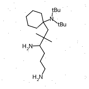 CC(C)(CC1(N(C(C)(C)C)C(C)(C)C)CCCCC1)C(N)CCCN